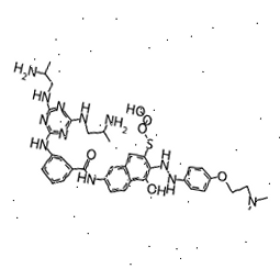 CC(N)CNc1nc(NCC(C)N)nc(Nc2cccc(C(=O)Nc3ccc4c(O)c(NNc5ccc(OCCN(C)C)cc5)c(SOOO)cc4c3)c2)n1